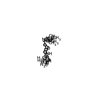 C=C[C@H]1C[C@H]1N(Cc1nc2ccc3cc4c(cc3c2[nH]1)OCc1cc(-c2cnc(CN(CCC)C(=O)[C@@H](NC(=O)OC)C(C)C)[nH]2)ccc1-4)C(=O)[C@@H](NC(=O)OC)C(C)C